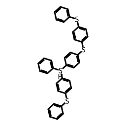 c1ccc(Sc2ccc(Sc3ccc([SH](c4ccccc4)c4ccc(Sc5ccccc5)cc4)cc3)cc2)cc1